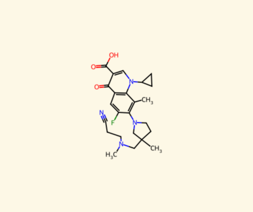 Cc1c(N2CCC(C)(CN(C)CCC#N)C2)c(F)cc2c(=O)c(C(=O)O)cn(C3CC3)c12